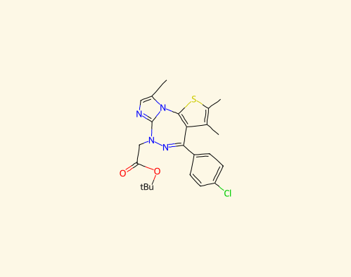 Cc1sc2c(c1C)C(c1ccc(Cl)cc1)=NN(CC(=O)OC(C)(C)C)c1ncc(C)n1-2